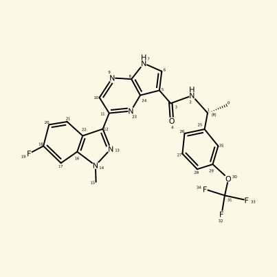 C[C@@H](NC(=O)c1c[nH]c2ncc(-c3nn(C)c4cc(F)ccc34)nc12)c1cccc(OC(F)(F)F)c1